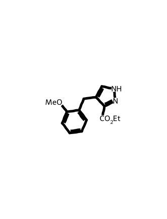 CCOC(=O)c1n[nH]cc1Cc1ccccc1OC